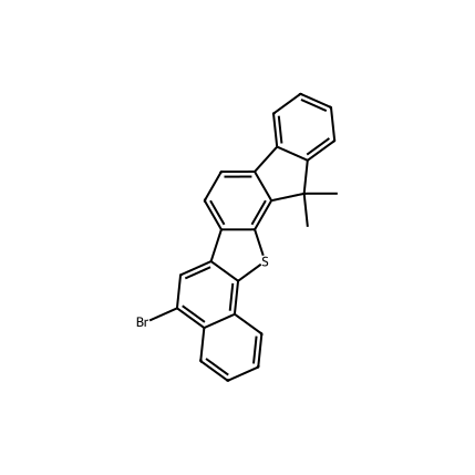 CC1(C)c2ccccc2-c2ccc3c(sc4c5ccccc5c(Br)cc34)c21